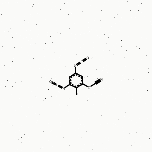 Cc1c(N=C=O)cc(N=C=O)cc1OC#N